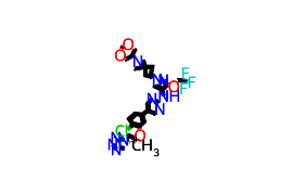 C[C@@H](Cn1cnnn1)Oc1cc(-c2cnc(Nc3cn(C4CC5(C4)CN(C4COCOC4)C5)nc3OCC(F)(F)F)nc2)ccc1Cl